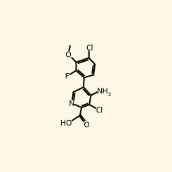 COc1c(Cl)ccc(-c2cnc(C(=O)O)c(Cl)c2N)c1F